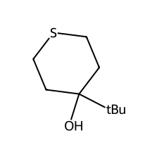 CC(C)(C)C1(O)CCSCC1